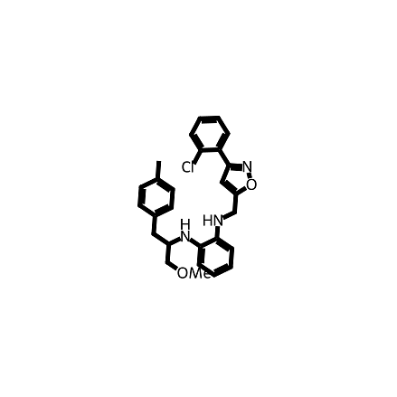 COCC(Cc1ccc(C)cc1)Nc1ccccc1NCc1cc(-c2ccccc2Cl)no1